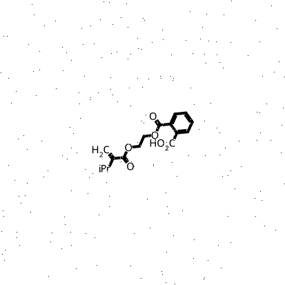 C=C(C(=O)OCCOC(=O)c1ccccc1C(=O)O)C(C)C